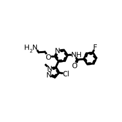 Cn1ncc(Cl)c1-c1cc(NC(=O)c2cccc(F)c2)cnc1OCCN